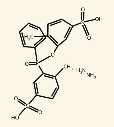 Cc1ccc(S(=O)(=O)O)cc1OP(=O)(c1ccccc1)c1cc(S(=O)(=O)O)ccc1C.N.N